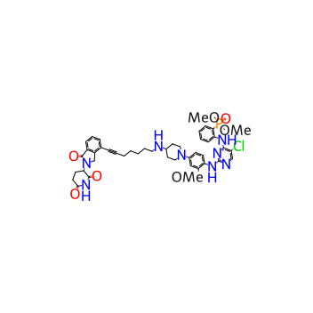 COc1cc(N2CCC(NCCCCCC#Cc3cccc4c3CN(C3CCC(=O)NC3=O)C4=O)CC2)ccc1Nc1ncc(Cl)c(Nc2ccccc2P(=O)(OC)OC)n1